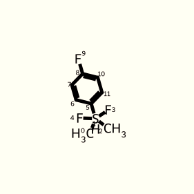 C[SH](C)(F)(F)c1ccc(F)cc1